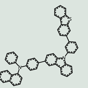 c1ccc(N(c2ccc(-c3ccc4c(c3)c3ccccc3n4-c3cccc(-c4ccc5c(c4)sc4ccccc45)c3)cc2)c2cccc3ccccc23)cc1